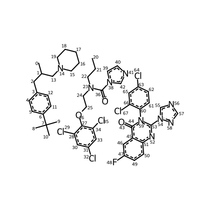 CC(Cc1ccc(C(C)(C)C)cc1)CN1CCCCC1.CCCN(CCOc1c(Cl)cc(Cl)cc1Cl)C(=O)n1ccnc1.O=c1c2cc(F)ccc2nc(-n2cncn2)n1-c1ccc(Cl)cc1Cl